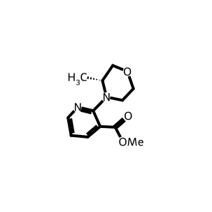 COC(=O)c1cccnc1N1CCOC[C@H]1C